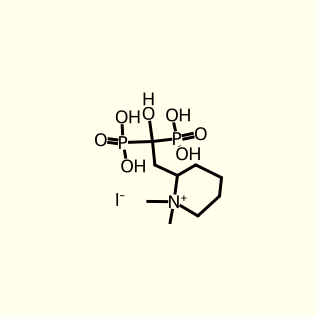 C[N+]1(C)CCCCC1CC(O)(P(=O)(O)O)P(=O)(O)O.[I-]